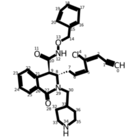 C#C/C=C(Cl)\C=C/C[C@H]1[C@H](C(=O)NOCc2ccccc2)c2ccccc2C(=O)N1CC1CCNCC1